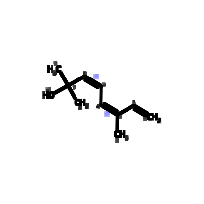 C=C/C(C)=C\C=C/C(C)(C)O